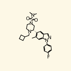 Cc1cc2c(cnn2-c2ccc(F)cc2)cc1[C@H]1CN(S(=O)(=O)N(C)C)CCN1CC1CCC1